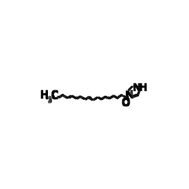 CCCCCCCCC=CCCCCCCCC(=O)N1C=CCNCC1